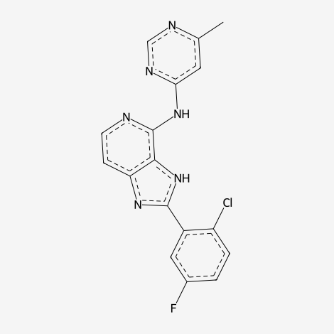 Cc1cc(Nc2nccc3nc(-c4cc(F)ccc4Cl)[nH]c23)ncn1